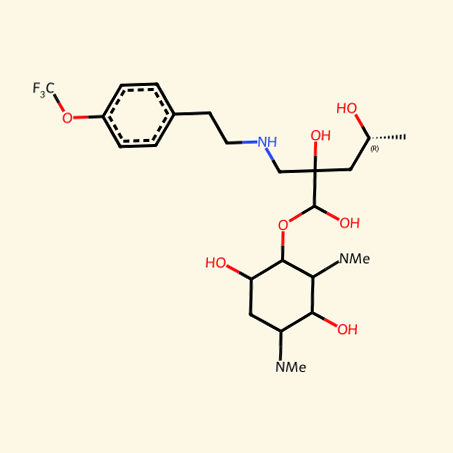 CNC1CC(O)C(OC(O)C(O)(CNCCc2ccc(OC(F)(F)F)cc2)C[C@@H](C)O)C(NC)C1O